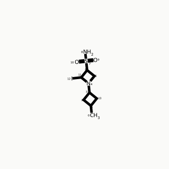 CC1CC(N2CC(S(N)(=O)=O)C2I)C1